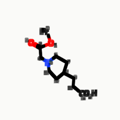 CC(C)OC(=O)CN1CCC(CCC(=O)O)CC1